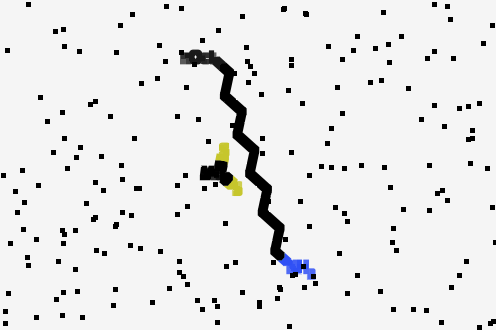 CCCCCCCCCCCCCCCCCCN.[S]=[Mo]=[S]